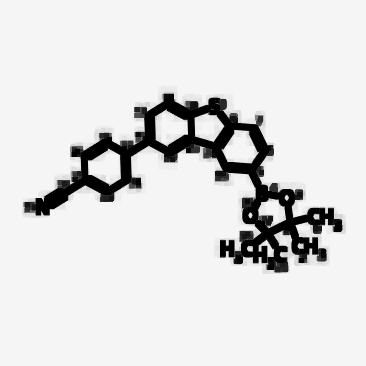 CC1(C)OB(c2ccc3sc4ccc(-c5ccc(C#N)cc5)cc4c3c2)OC1(C)C